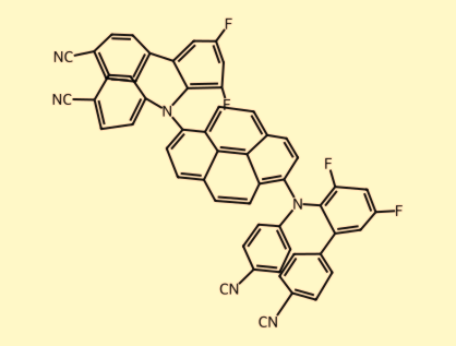 [C-]#[N+]c1ccc(-c2cc(F)cc(F)c2N(c2ccc([N+]#[C-])cc2)c2ccc3ccc4c(N(c5ccc(C#N)cc5)c5c(F)cc(F)cc5-c5ccc(C#N)cc5)ccc5ccc2c3c54)cc1